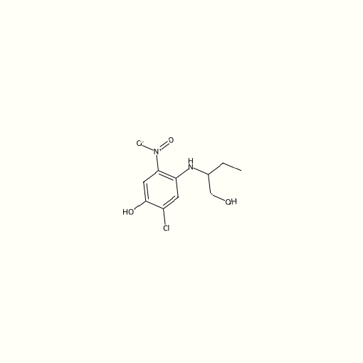 CCC(CO)Nc1cc(Cl)c(O)cc1[N+](=O)[O-]